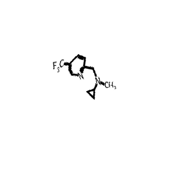 CN(Cc1ccc(C(F)(F)F)cn1)C1CC1